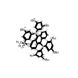 CC(C)(C)c1cc(N(c2cc(C(C)(C)C)cc(C(C)(C)C)c2)c2c3ccccc3c(N(c3cc(C(C)(C)C)cc(C(C)(C)C)c3)c3cc(C(C)(C)C)cc(S(C)(C)C)c3)c3ccccc23)cc(C(C)(C)C)c1